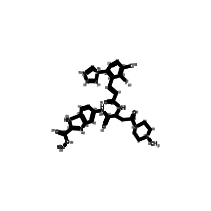 CN1CCN(C(=O)CC(NC(=O)C=Cc2c(-n3cnnn3)ccc(Cl)c2F)C(=O)Nc2ccc3[nH]c(C(=O)OC(C)(C)C)nc3c2)CC1